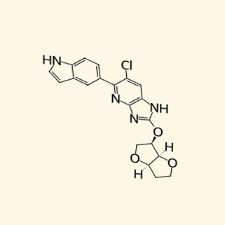 Clc1cc2[nH]c(O[C@@H]3CO[C@@H]4CCO[C@@H]43)nc2nc1-c1ccc2[nH]ccc2c1